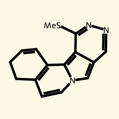 CSc1nncc2cn3ccc4c(c3c12)C=CCC4